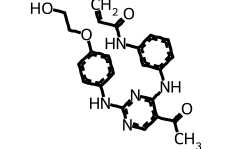 C=CC(=O)Nc1cccc(Nc2nc(Nc3ccc(OCCO)cc3)ncc2C(C)=O)c1